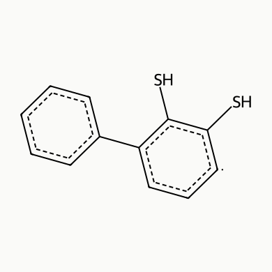 Sc1[c]ccc(-c2ccccc2)c1S